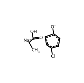 CCC(=O)O.[Na+].[O-]c1ccc(Cl)cc1